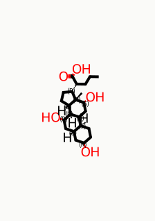 CCCC(C(=O)O)[C@H]1CC[C@H]2[C@@H]3[C@H](O)C[C@@H]4C[C@H](O)CC[C@]4(C)[C@H]3C[C@H](O)[C@@]12C